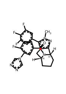 Cn1nc2c(c1-c1cc(F)c(F)c(F)c1)C[C@H]1CCC[C@@H]2N1C(=O)c1ccc(F)c(-n2cnnc2)c1